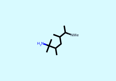 CNC(C)C(C)CC(C)C(C)(C)N